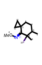 CO/N=C1\C2(CCC(C)C1(C)I)CC2